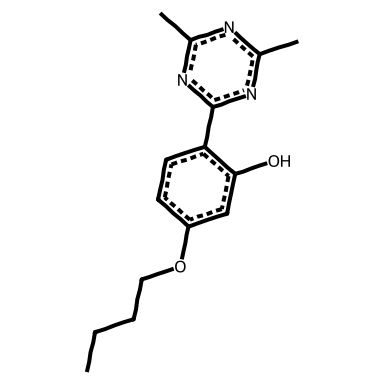 CCCCOc1ccc(-c2nc(C)nc(C)n2)c(O)c1